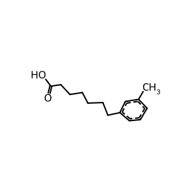 Cc1cccc(CCCCCCC(=O)O)c1